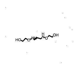 OCCONC=CCNOCCO